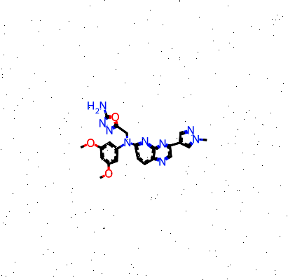 COc1cc(OC)cc(N(Cc2nnc(N)o2)c2ccc3ncc(-c4cnn(C)c4)nc3n2)c1